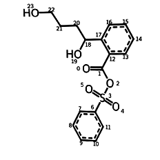 O=C(OS(=O)(=O)c1ccccc1)c1ccccc1C(O)CCCO